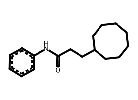 O=C(CCC1CCCCCCC1)Nc1ccccc1